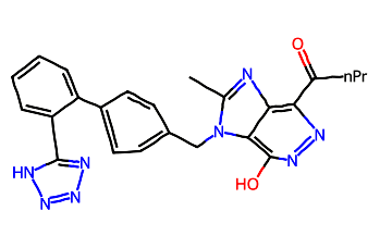 CCCC(=O)c1nnc(O)c2c1nc(C)n2Cc1ccc(-c2ccccc2-c2nnn[nH]2)cc1